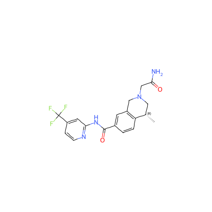 C[C@H]1CN(CC(N)=O)Cc2cc(C(=O)Nc3cc(C(F)(F)F)ccn3)ccc21